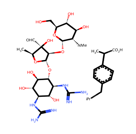 CC(C)Cc1ccc(C(C)C(=O)O)cc1.CN[C@@H]1[C@H](O[C@H]2[C@H](O[C@H]3[C@H](O)[C@@H](O)[C@H](NC(=N)N)[C@@H](O)[C@@H]3NC(=N)N)O[C@@H](C)[C@]2(O)C=O)O[C@@H](CO)[C@H](O)[C@H]1O